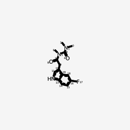 CN(C)C(=O)N(C)C(=O)Cc1c[nH]c2ccc(F)cc12